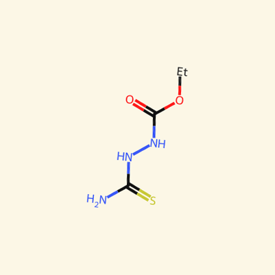 CCOC(=O)NNC(N)=S